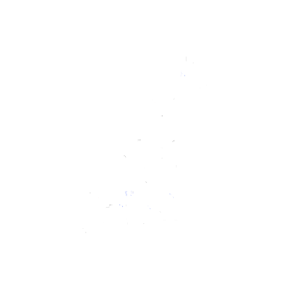 CC1=CC(=O)N(Nc2nc(C(C)(C)C)nc3sc(-c4ccc(OCCN(C)C)cc4)c(C)c23)C1=O